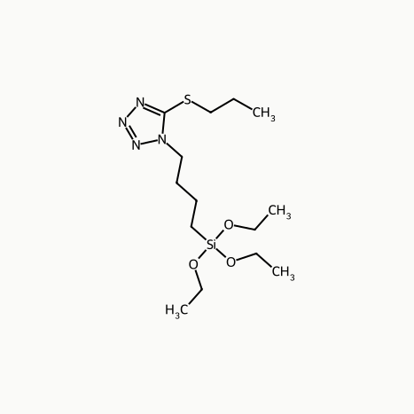 CCCSc1nnnn1CCCC[Si](OCC)(OCC)OCC